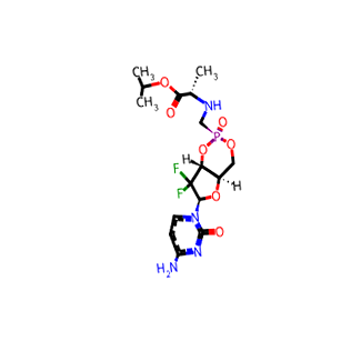 CC(C)OC(=O)[C@H](C)NC[P@@]1(=O)OC[C@H]2O[C@@H](n3ccc(N)nc3=O)C(F)(F)[C@@H]2O1